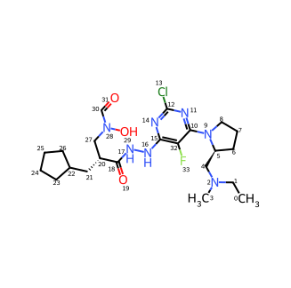 CCN(C)C[C@@H]1CCCN1c1nc(Cl)nc(NNC(=O)[C@H](CC2CCCC2)CN(O)C=O)c1F